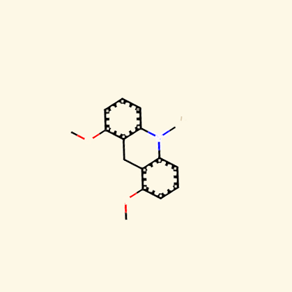 Br.COc1cccc2c1Cc1c(OC)cccc1N2C